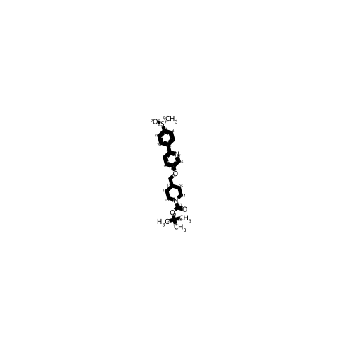 C[S+]([O-])c1ccc(-c2ccc(OCC3CCN(C(=O)OC(C)(C)C)CC3)cn2)cc1